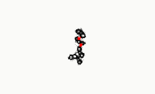 c1ccc(N(c2ccc3ccccc3c2)c2cccc3c2oc2ccc(-c4cccc5c4oc4cccc(-c6cccc7sc8ccccc8c67)c45)cc23)cc1